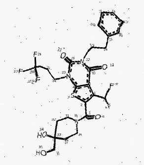 O=C(c1sc2c(c1C(F)F)c(=O)n(CCc1ccccc1)c(=O)n2CCC(F)(F)F)N1CCC(O)(CO)CC1